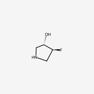 O[C@H]1CNC[C@@H]1F